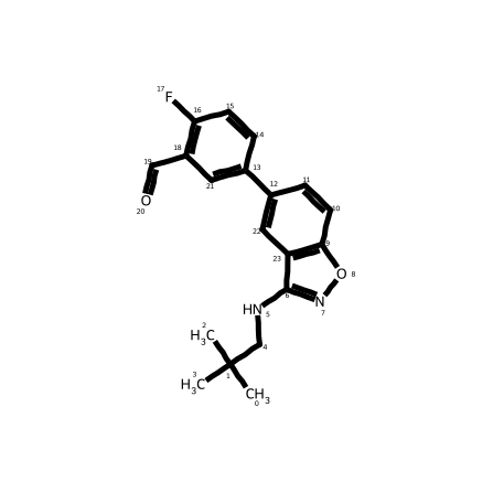 CC(C)(C)CNc1noc2ccc(-c3ccc(F)c(C=O)c3)cc12